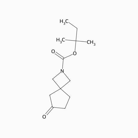 CCC(C)(C)OC(=O)N1CC2(CCC(=O)C2)C1